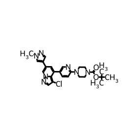 Cn1cc(-c2cc(-c3ccc(N4CCN(C(=O)OC(C)(C)C)CC4)nc3)c3c(Cl)cnn3c2)cn1